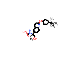 CC(C)(C)C1CCC(Oc2ccc3cc([C@](C)(CO)NC(=O)O)ccc3n2)CC1